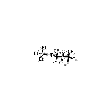 CC[N+](CC)(CC)CC.O=P([O-])(C(F)(F)C(F)(F)F)C(F)(F)C(F)(F)F